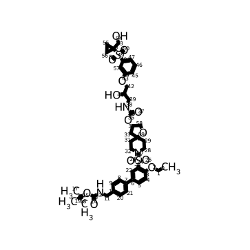 CCOc1ccc(-c2ccc(CNC(=O)OC(C)(C)C)cc2)cc1S(=O)(=O)N1CCC2(CC1)C[C@H](OC(=O)NCC(O)COc1cccc(S(=O)(=O)C3(CO)CC3)c1)CO2